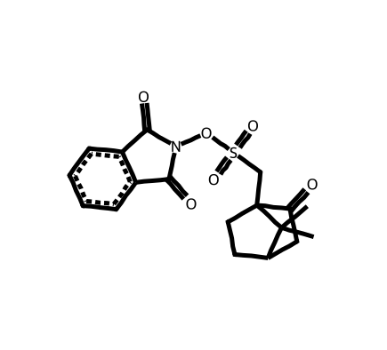 CC1(C)C2CCC1(CS(=O)(=O)ON1C(=O)c3ccccc3C1=O)C(=O)C2